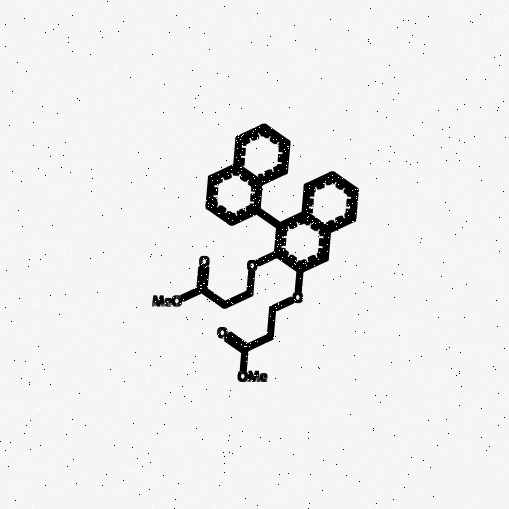 COC(=O)CCOc1cc2ccccc2c(-c2cccc3ccccc23)c1OCCC(=O)OC